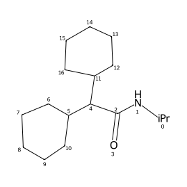 CC(C)NC(=O)C(C1CCCCC1)C1CCCCC1